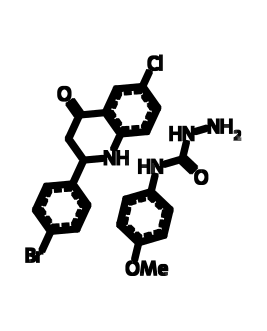 COc1ccc(NC(=O)NN)cc1.O=C1CC(c2ccc(Br)cc2)Nc2ccc(Cl)cc21